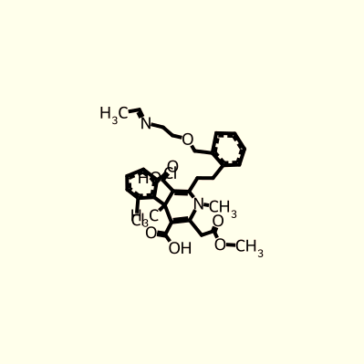 CC=NCCOCc1ccccc1CCC1=C(C(=O)O)C(C)(c2c(Cl)cccc2Cl)C(C(=O)O)=C(CC(=O)OC)N1C